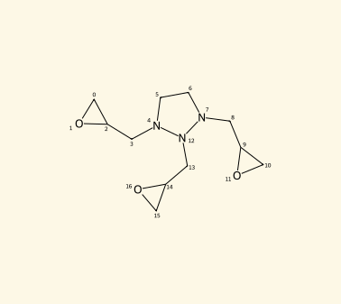 C1OC1CN1CCN(CC2CO2)N1CC1CO1